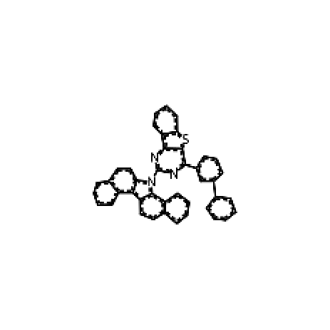 c1ccc(-c2cccc(-c3nc(-n4c5ccc6ccccc6c5c5ccc6ccccc6c54)nc4c3sc3ccccc34)c2)cc1